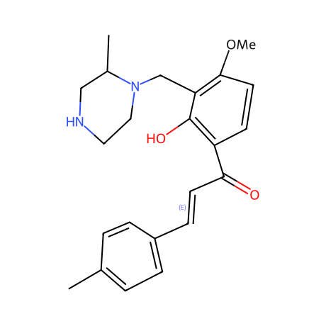 COc1ccc(C(=O)/C=C/c2ccc(C)cc2)c(O)c1CN1CCNCC1C